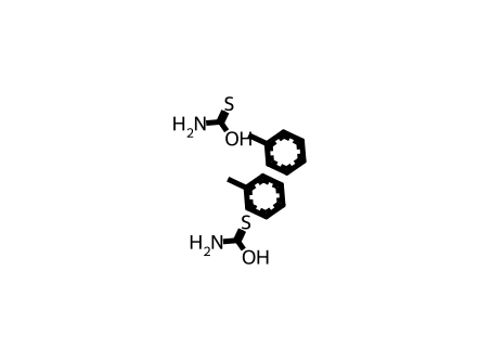 Cc1ccccc1.Cc1ccccc1.NC(O)=S.NC(O)=S